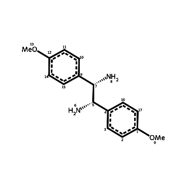 COc1ccc([C@H](N)[C@@H](N)c2ccc(OC)cc2)cc1